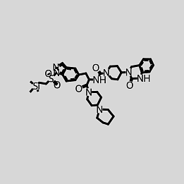 C[Si](C)(C)CCS(=O)(=O)n1ncc2cc(CC(NC(=O)N3CCC(N4Cc5ccccc5NC4=O)CC3)C(=O)N3CCC(N4CCCCC4)CC3)ccc21